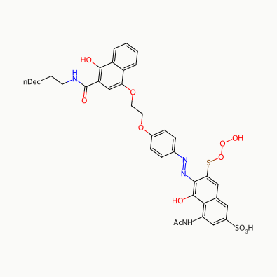 CCCCCCCCCCCCNC(=O)c1cc(OCCOc2ccc(N=Nc3c(SOOO)cc4cc(S(=O)(=O)O)cc(NC(C)=O)c4c3O)cc2)c2ccccc2c1O